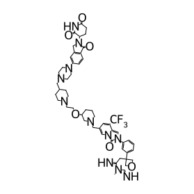 CN(C=N)C(=N)CC1(c2cccc(-n3cc4c(C(F)(F)F)cc(CN5CCC[C@H](OCCN6CCC(CN7CCN(c8ccc9c(c8)CN(C8CCC(=O)NC8=O)C9=O)CC7)CC6)C5)cn4c3=O)c2)COC1